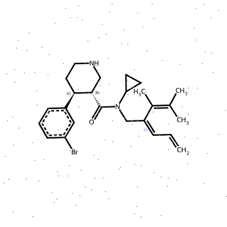 C=C/C=C(/CN(C(=O)[C@H]1CNCC[C@@H]1c1cccc(Br)c1)C1CC1)C(C)=C(C)C